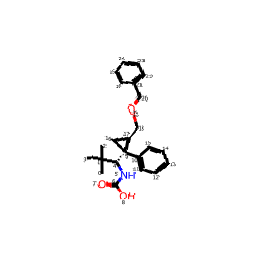 CC(C)(C)C(NC(=O)O)[C@]1(c2ccccc2)C[C@H]1COCc1ccccc1